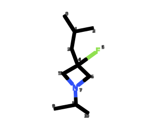 CC(C)CC1(F)CN(C(C)C)C1